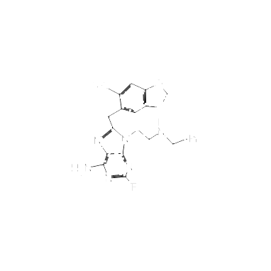 CC(C)CNCCn1c(Cc2cc3c(cc2[124I])OCO3)nc2c(N)nc(F)nc21